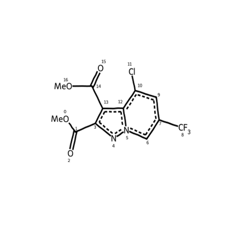 COC(=O)c1nn2cc(C(F)(F)F)cc(Cl)c2c1C(=O)OC